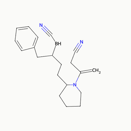 C=C(CC#N)N1CCCCC1CCC(BC#N)Cc1ccccc1